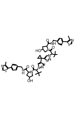 Cc1ncsc1-c1ccc(CNC(=O)C2CC(O)CN2C(=O)C(n2cc(C3(c4cn(C(C(=O)N5CC(O)CC5C(=O)NCc5ccc(-c6scnc6C)cc5)C(C)(C)C)nn4)CC3)nn2)C(C)(C)C)cc1